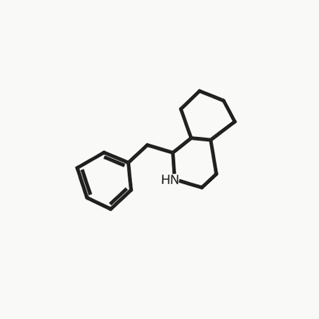 c1ccc(CC2NCCC3CCCCC32)cc1